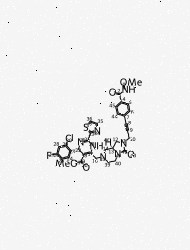 CONC(=O)c1ccc(C#CCN2C[C@@H]3CN(CC4=C(C(=O)OC)[C@H](c5ccc(F)cc5Cl)N=C(c5nccs5)N4)CCN3C2=O)cc1